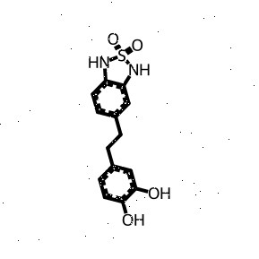 O=S1(=O)Nc2ccc(CCc3ccc(O)c(O)c3)cc2N1